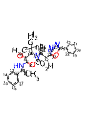 CCCC(C)(C)[C@@H](C(=O)C(=O)N[C@H](C)c1ccccc1)N(C(=O)O)[C@H](CC)Cc1nnc(-c2ccccc2)o1